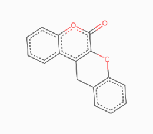 O=c1oc2ccccc2c2c1Oc1ccccc1C2